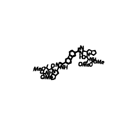 COC(=O)NC(C(=O)N1C(c2ncc(-c3ccc4c(c3)-c3ccc(-c5cnc(C6CC7CCCC7N6C(=O)C(NC(=O)OC)C(C)OC)[nH]5)cc3-4)[nH]2)CC2CCCC21)C(C)OC